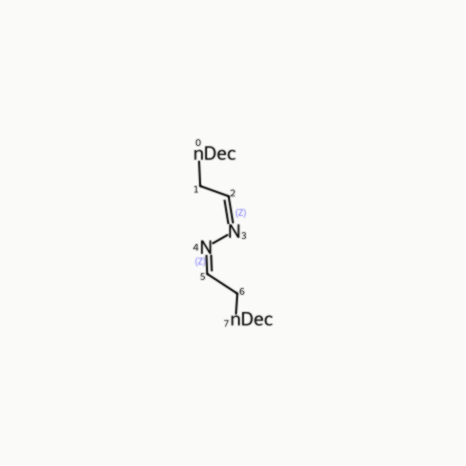 CCCCCCCCCCC/C=N\N=C/CCCCCCCCCCC